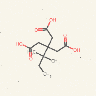 CCC(C)(C)C(CC(=O)O)(CC(=O)O)CC(=O)O